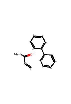 C=CC(=O)OC.c1ccc(-c2ccccc2)cc1